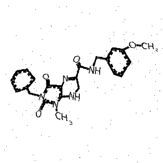 COc1cccc(CNC(=O)C2=Nc3c(n(C)c(=O)n(Cc4ccccc4)c3=O)NC2)c1